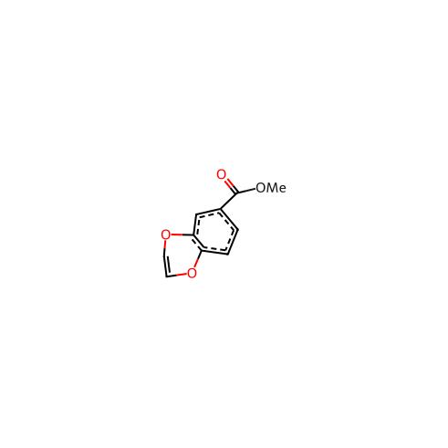 COC(=O)c1ccc2c(c1)OC=CO2